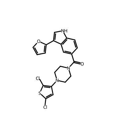 O=C(c1ccc2[nH]cc(-c3ccco3)c2c1)N1CCN(c2cc(Cl)sc2Cl)CC1